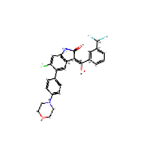 O=C1Nc2cc(Cl)c(-c3ccc(N4CCOCC4)cc3)cc2C1=C(O)c1cccc(C(F)F)c1